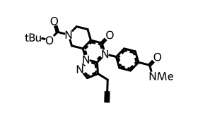 C#CCc1cnn2c3c(c(=O)n(-c4ccc(C(=O)NC)cc4)c12)CCN(C(=O)OC(C)(C)C)C3